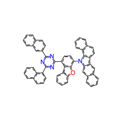 c1ccc2cc(-c3nc(-c4cccc5ccccc45)nc(-c4ccc(-n5c6cc7ccccc7cc6c6ccc7ccccc7c65)c5oc6ccccc6c45)n3)ccc2c1